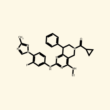 CCNc1nc(Nc2ccc(-n3cnc(C)n3)c(F)c2)nc2c1CN(C(=O)C1CC1)CC2c1ccccc1